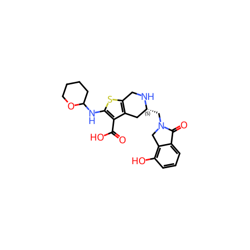 O=C(O)c1c(NC2CCCCO2)sc2c1C[C@@H](CN1Cc3c(O)cccc3C1=O)NC2